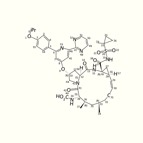 CC(C)Oc1ccc(-c2cc(O[C@@H]3C[C@H]4C(=O)N[C@]5(C(=O)NS(=O)(=O)C6(C)CC6)C[C@H]5C=CCC[C@@H](C)C[C@@H](C)[C@H](NC(=O)O)C(=O)N4C3)cc(-c3ncccn3)n2)cc1